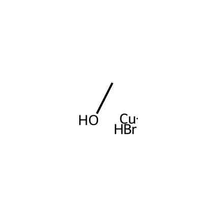 Br.CO.[Cu]